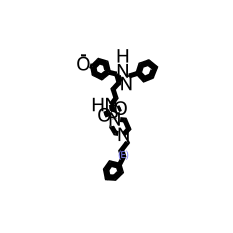 COc1ccc(-c2[nH]c(-c3ccccc3)nc2CCNS(=O)(=O)N2CCN(C/C=C/c3ccccc3)CC2)cc1